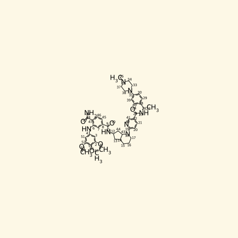 COc1cc(Nc2cc(C(=O)NC3CC4CCCN(c5ccc(C(=O)N[C@@H](C)c6ccc(N7CCN(C)CC7)cc6)cn5)C4C3)ccc2C(N)=O)cc(OC)c1OC